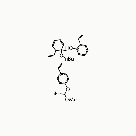 C=CC1C=CC=CC1(C)OCCCC.C=Cc1ccc(OC(OC)C(C)C)cc1.C=Cc1ccccc1O